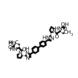 CC[C@@H](NC(=O)O)C(=O)N1CCC[C@H]1c1ncc(-c2ccc(-c3ccc(-c4cnc([C@@H]5CCCN5C(=O)[C@@H](CC)NC(=O)O)[nH]4)cc3)cc2)[nH]1